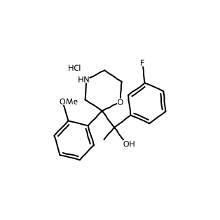 COc1ccccc1C1(C(C)(O)c2cccc(F)c2)CNCCO1.Cl